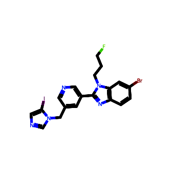 FCCCn1c(-c2cncc(Cn3cncc3I)c2)nc2ccc(Br)cc21